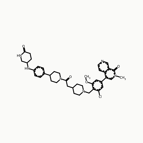 COc1cc(-c2cn(C)c(=O)c3cnccc23)cc(Cl)c1CN1CCC(CC(=O)N2CCC(c3ccc(NC4CCC(=O)NC4)cc3)CC2)CC1